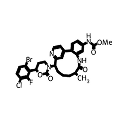 COC(=O)Nc1ccc2c(c1)NC(=O)C(C)CCCC(N1CCC(c3c(Br)ccc(Cl)c3F)OC1=O)c1cc-2ccn1